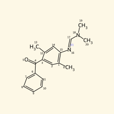 Cc1cc(C(=O)c2ccccc2)c(C)cc1/N=C/N(C)C